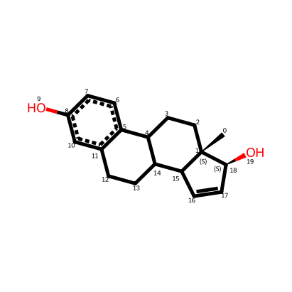 C[C@]12CCC3c4ccc(O)cc4CCC3C1C=C[C@@H]2O